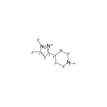 Cc1cc(C2CCN(C)CC2)nn1C